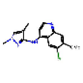 COc1cc2nccc(Nc3nn(C)cc3C)c2cc1Br